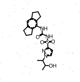 CC(O)C(C)n1ccc(S(=O)(=O)NC(=O)Nc2c3c(cc4c2CCC4)CCC3)n1